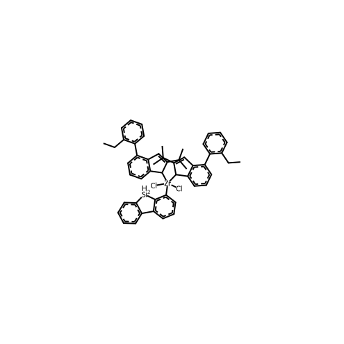 CCc1ccccc1-c1cccc2c1C=C(C(C)C)[CH]2[Zr]([Cl])([Cl])([c]1cccc2c1[SiH2]c1ccccc1-2)[CH]1C(C(C)C)=Cc2c(-c3ccccc3CC)cccc21